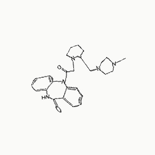 CN1CCN(CC2CCCCN2CC(=O)N2c3ccccc3NC(=O)c3ccccc32)CC1